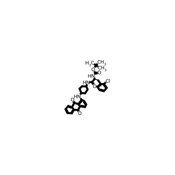 CC(C)(C)OC(=O)N[C@@H](Cc1ccccc1Cl)C(=O)NC1CCC(Nc2cccc3c2C(=O)c2ccccc2C3=O)CC1